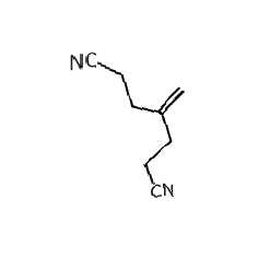 C=C(CCC#N)CCC#N